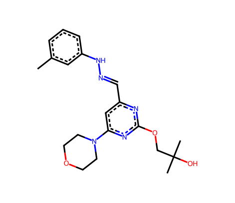 Cc1cccc(N/N=C/c2cc(N3CCOCC3)nc(OCC(C)(C)O)n2)c1